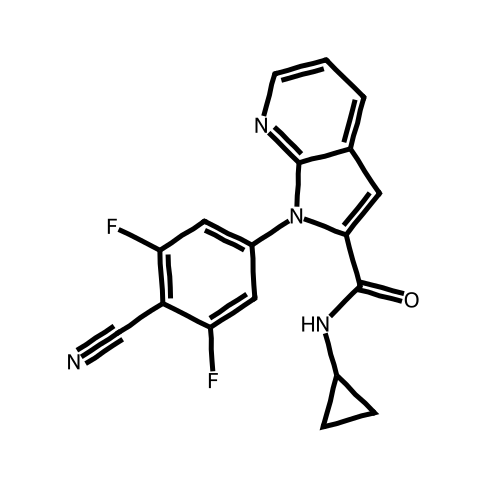 N#Cc1c(F)cc(-n2c(C(=O)NC3CC3)cc3cccnc32)cc1F